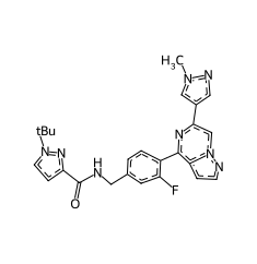 Cn1cc(-c2cn3nccc3c(-c3ccc(CNC(=O)c4ccn(C(C)(C)C)n4)cc3F)n2)cn1